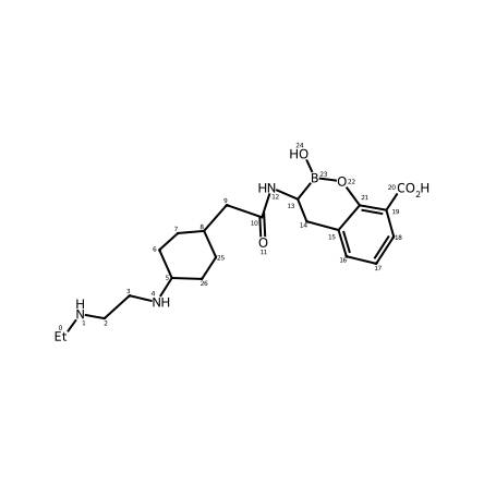 CCNCCNC1CCC(CC(=O)NC2Cc3cccc(C(=O)O)c3OB2O)CC1